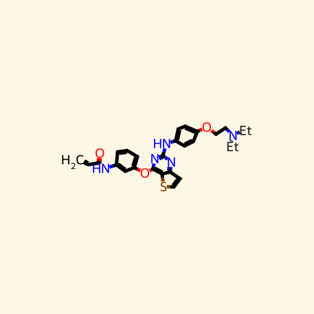 C=CC(=O)Nc1cccc(Oc2nc(Nc3ccc(OCCN(CC)CC)cc3)nc3ccsc23)c1